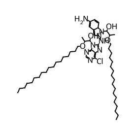 CCCCCCCCCCCCCCCCCCOC(C)C(O)N1C2C=CC(N)=CC2=CN1Nc1nc2c(Cl)ncnc2n1C(O)C(C)OCCCCCCCCCCCCCCCCCC